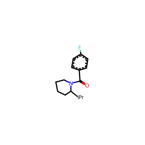 CC(C)C1CCCCN1C(=O)c1ccc(F)cc1